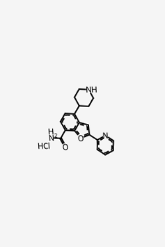 Cl.NC(=O)c1ccc(C2CCNCC2)c2cc(-c3ccccn3)oc12